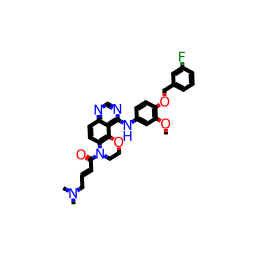 COc1cc(Nc2ncnc3ccc4c(c23)OCCN4C(=O)/C=C/CN(C)C)ccc1OCc1cccc(F)c1